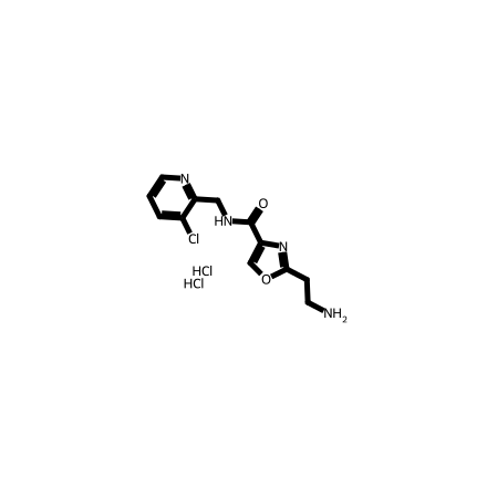 Cl.Cl.NCCc1nc(C(=O)NCc2ncccc2Cl)co1